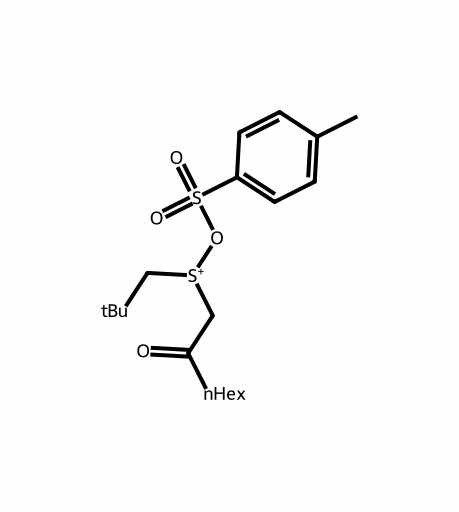 CCCCCCC(=O)C[S+](CC(C)(C)C)OS(=O)(=O)c1ccc(C)cc1